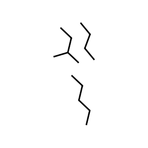 CCC(C)C.CCCC.CCCCC